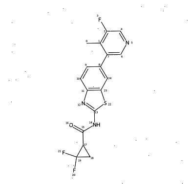 Cc1c(F)cncc1-c1ccc2nc(NC(=O)C3CC3(F)F)sc2c1